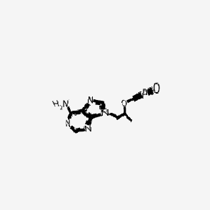 CC(Cn1cnc2c(N)ncnc21)OC#P=O